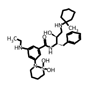 CCNc1cc(C(=O)N[C@@H](Cc2ccccc2)[C@@H](O)CNC2(C)CCCCC2)cc(N2CCCCS2(O)O)c1